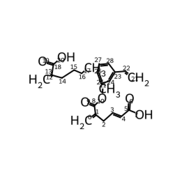 C=C(CC=CC(=O)O)C(=O)OC.C=C(CCCC)C(=O)O.C=Cc1ccccc1